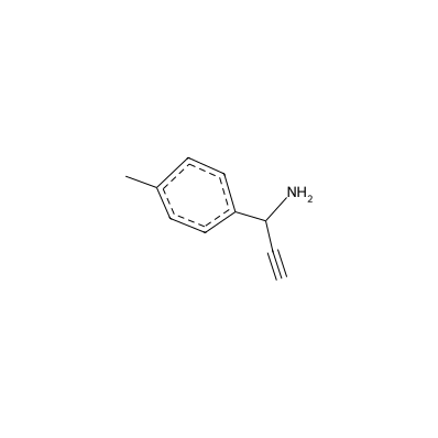 C#CC(N)c1ccc(C)cc1